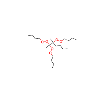 CCCCOOC(C)(CCCC)C(C)(OOCCCC)OOCCCC